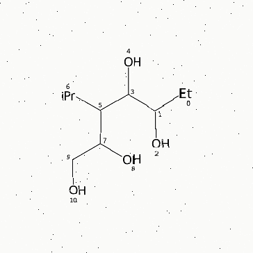 CCC(O)C(O)C(C(C)C)C(O)CO